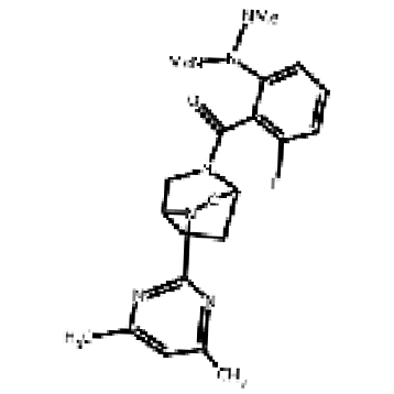 CNN(NC)c1cccc(F)c1C(=O)N1CC2CCC1CN2c1nc(C)cc(C)n1